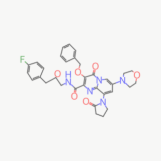 O=C(CNC(=O)c1nc2c(N3CCCC3=O)cc(N3CCOCC3)cn2c(=O)c1OCc1ccccc1)Cc1ccc(F)cc1